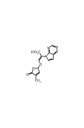 CCOC(=O)/C(=C/OC1C=C(C)C(=O)O1)n1ccc2cncnc21